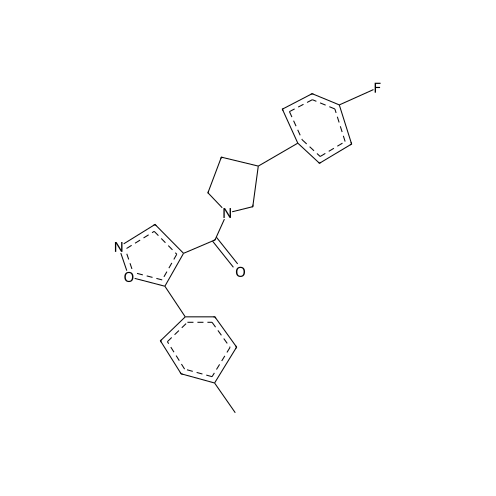 Cc1ccc(-c2oncc2C(=O)N2CCC(c3ccc(F)cc3)C2)cc1